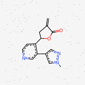 C=C1CC(c2ccncc2-c2cnn(C)c2)OC1=O